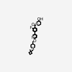 CC1(CN2CCC(COc3ccc(-c4ccc(C(=O)N5CCC[C@@H](O)C5)c(F)c4)cn3)CC2)CCC1